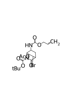 C=CCOC(=O)NC1CC2C(=O)N(C(=O)OC(C)(C)C)C1C(OC(C)=O)C2Br